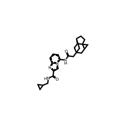 O=C(CC12CC3CCC4(CC4C1)C3C2)Nc1cccc2nc(C(=O)NCC3CC3)cn12